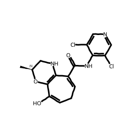 C[C@H]1CNC2=C(O1)C(O)=CCC=C2C(=O)Nc1c(Cl)cncc1Cl